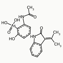 CC(=O)Nc1cccc(O)c1[As](=O)(O)O.CC(C)=C1C(=O)Nc2ccccc21